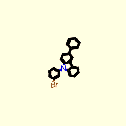 Brc1cccc(-n2c3ccccc3c3cc(-c4ccccc4)ccc32)c1